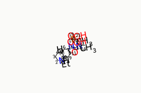 CCN1CCC[C@@H]2CC3=C(C[C@H]21)OC(N(C)C)N3OP(=O)(O)O